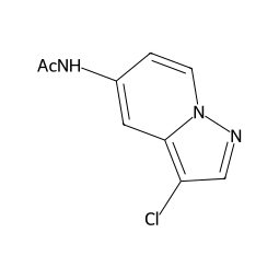 CC(=O)Nc1ccn2ncc(Cl)c2c1